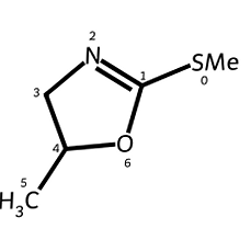 CSC1=NCC(C)O1